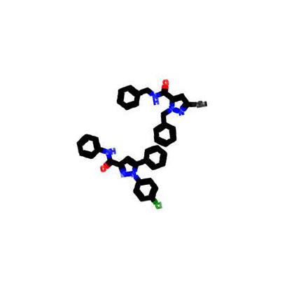 CC(C)(C)c1cc(C(=O)NCc2ccccc2)n(Cc2ccccc2)n1.O=C(Nc1ccccc1)c1cc(-c2ccccc2)n(-c2ccc(Cl)cc2)n1